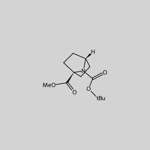 COC(=O)[C@]12CC[C@H](CC1)N2C(=O)OC(C)(C)C